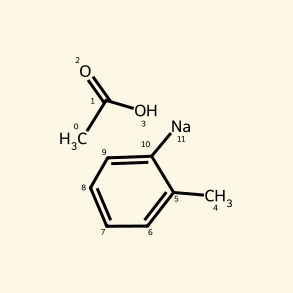 CC(=O)O.Cc1cccc[c]1[Na]